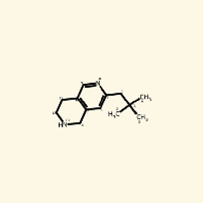 CC(C)(C)Cc1cc2c(cn1)CCNC2